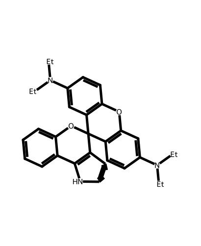 CCN(CC)c1ccc2c(c1)Oc1ccc(N(CC)CC)cc1C21Oc2ccccc2-c2[nH]c3ccccc3c21